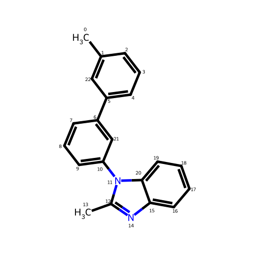 Cc1cccc(-c2cccc(-n3c(C)nc4ccccc43)c2)c1